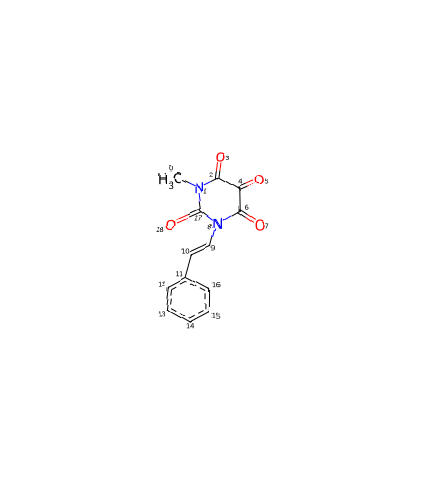 CN1C(=O)C(=O)C(=O)N(C=Cc2ccccc2)C1=O